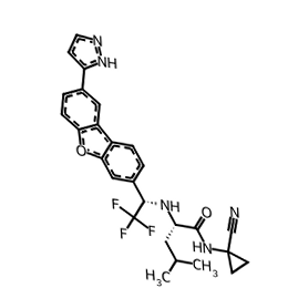 CC(C)C[C@H](N[C@@H](c1ccc2c(c1)oc1ccc(-c3ccn[nH]3)cc12)C(F)(F)F)C(=O)NC1(C#N)CC1